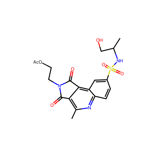 CC(=O)OCCN1C(=O)c2c(C)nc3ccc(S(=O)(=O)NC(C)CO)cc3c2C1=O